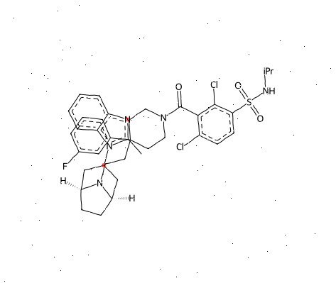 Cc1nc2ccccc2n1C1C[C@H]2CC[C@@H](C1)N2CCC1(c2cccc(F)c2)CCN(C(=O)c2c(Cl)ccc(S(=O)(=O)NC(C)C)c2Cl)CC1